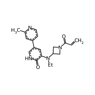 C=CC(=O)N1CC(N(CC)c2cc(-c3ccnc(C)c3)c[nH]c2=O)C1